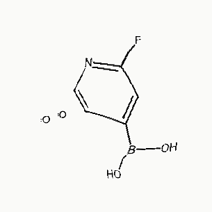 OB(O)c1ccnc(F)c1.[O].[O]